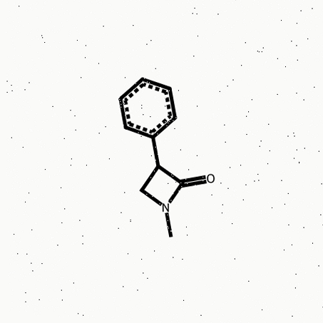 CN1CC(c2ccccc2)C1=O